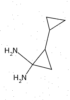 NC1(N)CC1C1CC1